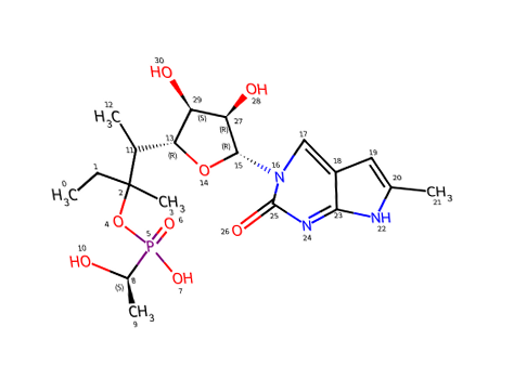 CCC(C)(OP(=O)(O)[C@@H](C)O)C(C)[C@H]1O[C@@H](n2cc3cc(C)[nH]c3nc2=O)[C@H](O)[C@@H]1O